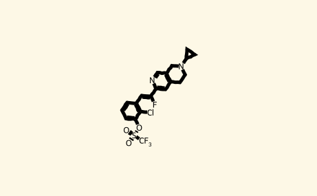 O=S(=O)(Oc1cccc(C=C(F)c2cc3c(cn2)CN(C2CC2)CC3)c1Cl)C(F)(F)F